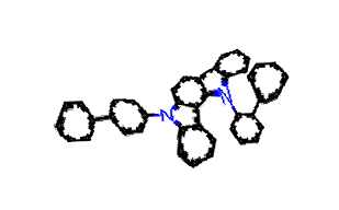 c1ccc(-c2ccc(-n3c4ccccc4c4c3ccc3c5ccccc5n(-c5ccccc5-c5ccccc5)c34)cc2)cc1